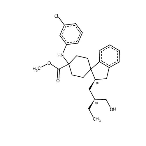 CC[C@H](CO)C[C@@H]1Cc2ccccc2C12CCC(Nc1cccc(Cl)c1)(C(=O)OC)CC2